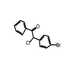 O=C(c1ccccc1)C(Cl)c1ccc(Br)cc1